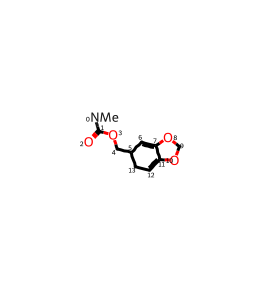 CNC(=O)OCC1C=C2OCOC2=CC1